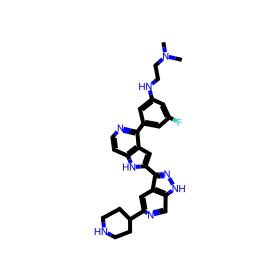 CN(C)CCNc1cc(F)cc(-c2nccc3[nH]c(-c4n[nH]c5cnc(C6CCNCC6)cc45)cc23)c1